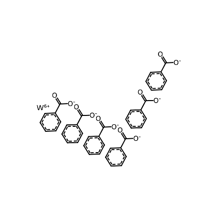 O=C([O-])c1ccccc1.O=C([O-])c1ccccc1.O=C([O-])c1ccccc1.O=C([O-])c1ccccc1.O=C([O-])c1ccccc1.O=C([O-])c1ccccc1.[W+6]